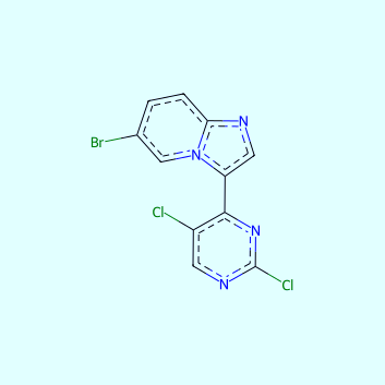 Clc1ncc(Cl)c(-c2cnc3ccc(Br)cn23)n1